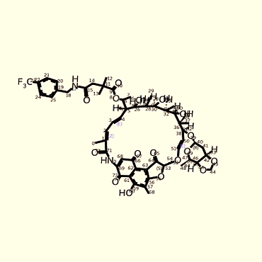 C/C1=C/C=C/[C@H](C(C)OC(=O)C(C)(C)CC(=O)NCc2ccc(C(F)(F)F)cc2)[C@H](O)[C@@H](C)[C@@H](O)[C@@H](C)[C@H](O)[C@H](C)[C@@H](O[C@H]2C[C@@H]3OCO[C@@H]3[C@@H](C)O2)/C=C/O[C@@]2(C)Oc3c(C)c(O)c4c(c3C2=O)C(=O)C=C(NC1=O)C4=O